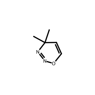 CC1(C)C=CON=N1